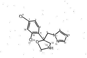 Clc1ccc(C2(Cn3cncn3)CNCO2)c(Cl)c1